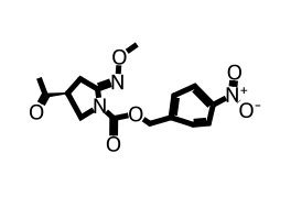 CON=C1C[C@H](C(C)=O)CN1C(=O)OCc1ccc([N+](=O)[O-])cc1